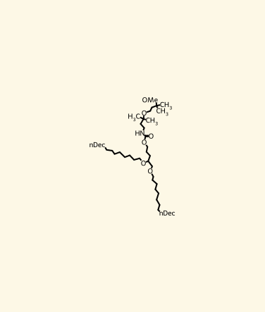 CCCCCCCCCCCCCCCCCCOCC(CCCOC(=O)NCCC(C)(C)OCCC(C)(C)OC)OCCCCCCCCCCCCCCCCCC